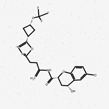 C=C(CCc1nnc([C@H]2C[C@@H](OC(F)(F)F)C2)o1)NC(=O)[C@H]1C[C@@H](O)c2cc(Cl)ccc2O1